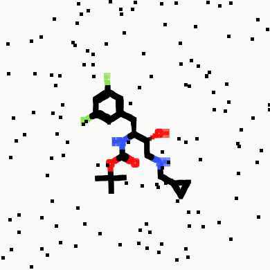 CC(C)(C)OC(=O)N[C@@H](Cc1cc(F)cc(F)c1)[C@H](O)CNCC1CC1